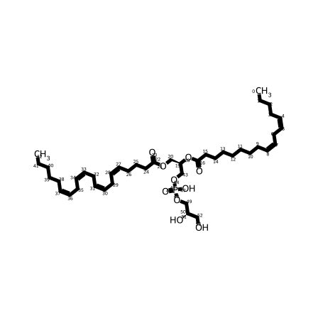 CCCC/C=C\C/C=C\CCCCCCCC(=O)O[C@H](COC(=O)CCC/C=C\C/C=C\C/C=C\C/C=C\CCCCC)COP(=O)(O)OC[C@@H](O)CO